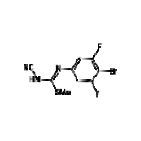 CS/C(=N\c1cc(F)c(Br)c(F)c1)NC#N